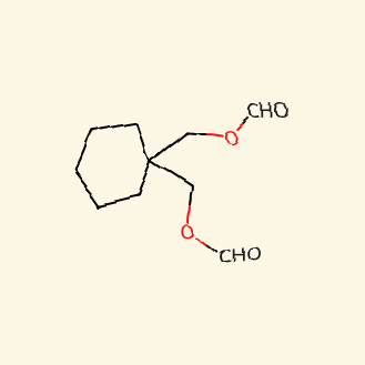 O=COCC1(COC=O)CCCCC1